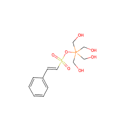 O=S(=O)(C=Cc1ccccc1)OP(CO)(CO)(CO)CO